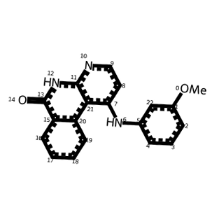 COc1cccc(Nc2ccnc3[nH]c(=O)c4ccccc4c23)c1